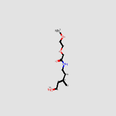 CCCOCCOCC(=O)NCCC(C)CCO